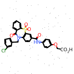 O=C(O)COc1ccc(NC(=O)c2ccc3c(c2)S(=O)(=O)c2ccccc2C(=O)N3Cc2cccc(Cl)c2)cc1